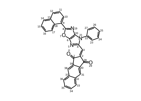 O=C1C(=Cc2nc3oc(-c4cccc5ccccc45)nc3n2-c2ccccc2)C(=O)c2cc3ccccc3cc21